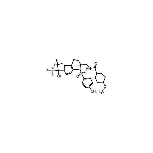 COC1CCC(C(=O)NC[C@@H]2CCc3cc(C(O)(C(F)(F)F)C(F)(F)F)ccc3N2S(=O)(=O)c2ccc(C)cc2)CC1